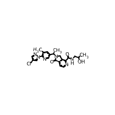 Cc1cc(C(C)N2Cc3c(ccnc3C(=O)NCC(C)O)C2=O)cnc1-n1cc(Cl)cn1